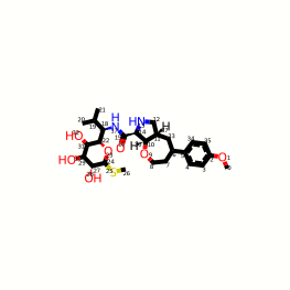 COc1ccc(C2CCO[C@@H]3[C@H](CN[C@@H]3C(=O)N[C@H](C(C)C)[C@H]3OC(SC)[C@H](O)C(O)C3O)C2)cc1